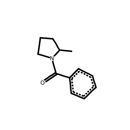 CC1CCCN1C(=O)c1ccccc1